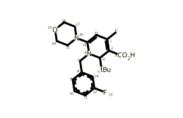 CC1=C(C(=O)O)C(C(C)(C)C)N(Cc2cccc(F)c2)C(N2CCOCC2)=C1